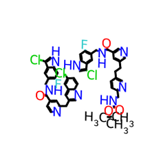 CC(C)(C)OC(=O)NCc1ccc(CCc2cncc(C(=O)NCc3cc4c(Cl)c[nH]c4cc3F)c2)cn1.O=C(NCc1cc2c(Cl)c[nH]c2cc1F)c1ccnc(Cc2cnc3ccc(Cl)cc3c2)c1